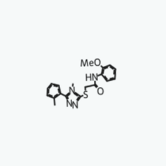 COc1ccccc1NC(=O)CSc1nnc(-c2ccccc2C)n1C